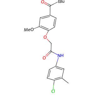 COc1cc(C(=O)C(C)(C)C)ccc1OCC(=O)Nc1ccc(Cl)c(C)c1